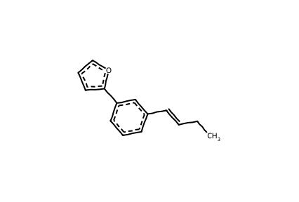 CC/C=C/c1cccc(-c2ccco2)c1